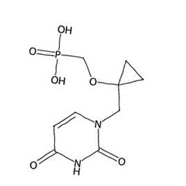 O=c1ccn(CC2(OCP(=O)(O)O)CC2)c(=O)[nH]1